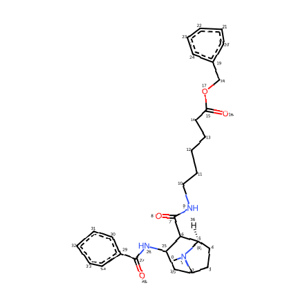 CN1C2CC[C@@H]1C(C(=O)NCCCCCC(=O)OCc1ccccc1)C(NC(=O)c1ccccc1)C2